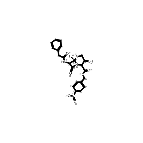 O=C(Cc1ccccc1)NC1C(=O)N2C(C(=O)OCc3ccc([N+](=O)[O-])cc3)C(O)CS[C@@H]12